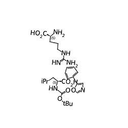 CC(C)C[C@H](NC(=O)OC(C)(C)C)C(=O)O.N=C(N)NCCC[C@H](N)C(=O)O.c1ccc(-c2cnco2)cc1